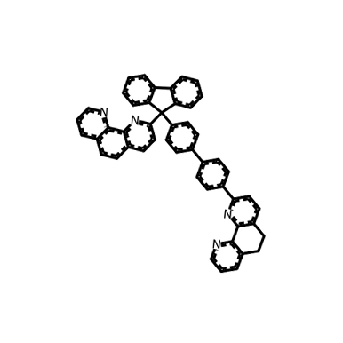 c1cnc2c(c1)CCc1ccc(-c3ccc(-c4ccc(C5(c6ccc7ccc8cccnc8c7n6)c6ccccc6-c6ccccc65)cc4)cc3)nc1-2